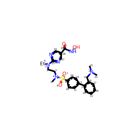 CCN(CCN(C)S(=O)(=O)c1ccc(-c2ccccc2CN(C)C)cc1)c1ncc(C(=O)NO)cn1